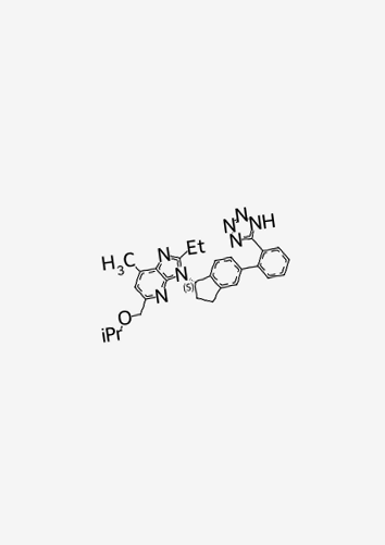 CCc1nc2c(C)cc(COC(C)C)nc2n1[C@H]1CCc2cc(-c3ccccc3-c3nnn[nH]3)ccc21